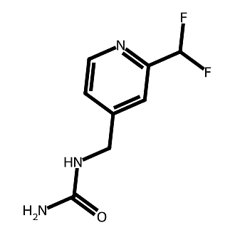 NC(=O)NCc1ccnc(C(F)F)c1